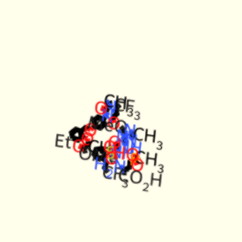 CCc1ccc(COc2ccc(-n3c(=O)cc(C(F)(F)F)n(C)c3=O)cc2)c(OC(C)C(=O)OC)c1.COc1nc(C)nc(NC(=O)NS(=O)(=O)c2ccccc2CCC(F)(F)F)n1.CP(=O)(O)CCC(N)C(=O)O